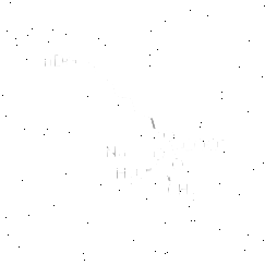 C=COC(OC=C)(OC=CCCCCCCCCCCCCCCCC)C(=O)[O-].[Na+]